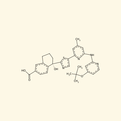 Cc1cc(Nc2cc(OC(C)(C)C)ccn2)nc(-c2cnc([C@]3(O)CCCc4cc(C(=O)O)ccc43)s2)c1